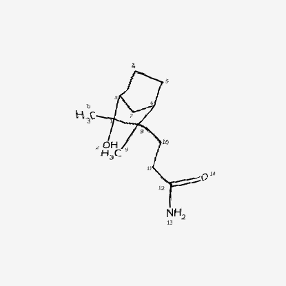 CC1(O)C2CCC(C2)C1(C)CCC(N)=O